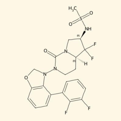 CS(=O)(=O)N[C@@H]1CN2C(=O)N(N3COc4cccc(-c5cccc(F)c5F)c43)CC[C@@H]2C1(F)F